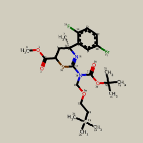 COC(=O)C1C[C@@](C)(c2cc(Br)ccc2F)N=C(N(COCC[Si](C)(C)C)C(=O)OC(C)(C)C)S1